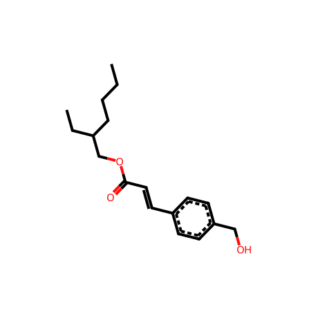 CCCCC(CC)COC(=O)/C=C/c1ccc(CO)cc1